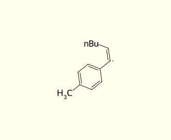 CCCC/C=[C]\c1ccc(C)cc1